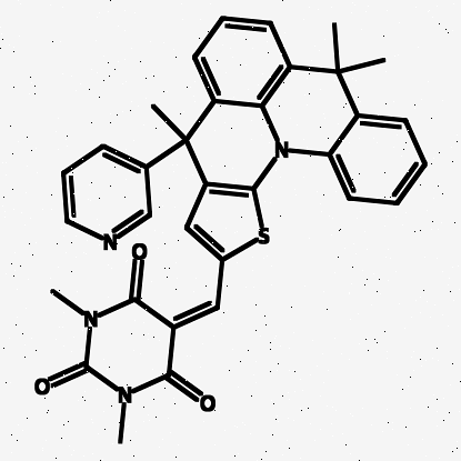 CN1C(=O)C(=Cc2cc3c(s2)N2c4ccccc4C(C)(C)c4cccc(c42)C3(C)c2cccnc2)C(=O)N(C)C1=O